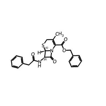 CC1=C(C(=O)OCc2ccccc2)N2C(=O)[C@@H](NC(=O)Cc3ccccc3)[C@@H]2SC1